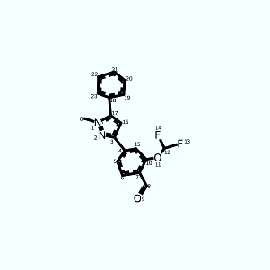 Cn1nc(-c2ccc(C=O)c(OC(F)F)c2)cc1-c1ccccc1